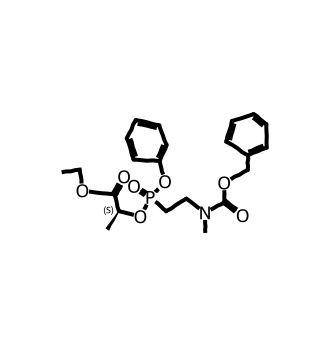 CCOC(=O)[C@H](C)OP(=O)(CCN(C)C(=O)OCc1ccccc1)Oc1ccccc1